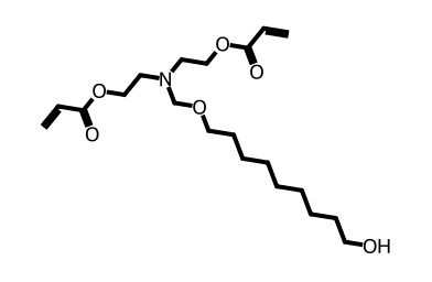 C=CC(=O)OCCN(CCOC(=O)C=C)COCCCCCCCCCO